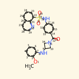 COc1ccccc1NC1CN(C(=O)c2ccc(NS(=O)(=O)c3cccc4cccnc34)cc2)C1